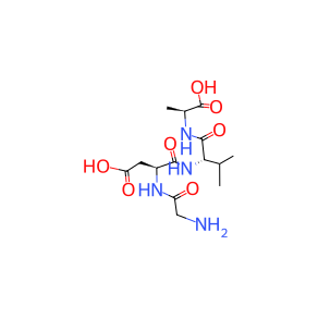 CC(C)[C@H](NC(=O)[C@H](CC(=O)O)NC(=O)CN)C(=O)N[C@@H](C)C(=O)O